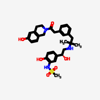 CC(C)(Cc1cccc(CC(=O)N2CCc3cc(O)ccc3C2)c1)NC[C@H](O)c1ccc(O)c(NS(C)(=O)=O)c1